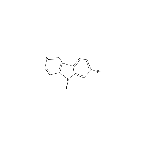 CC(C)c1ccc2c3cnccc3n(I)c2c1